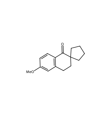 COc1ccc2c(c1)CCC1(CCCC1)C2=O